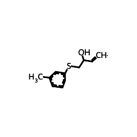 [CH]=CC(O)CSc1cccc(C)c1